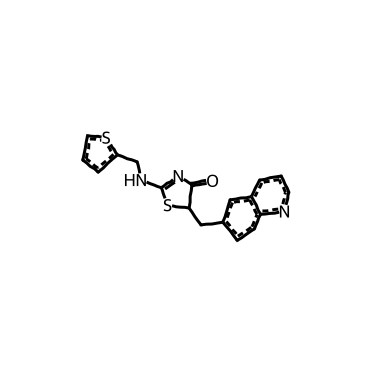 O=C1N=C(NCc2cccs2)SC1Cc1ccc2ncccc2c1